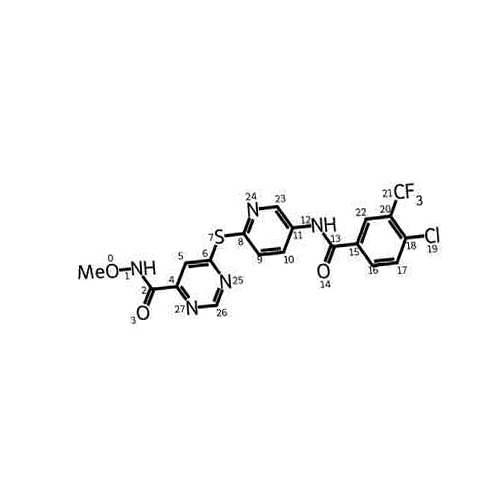 CONC(=O)c1cc(Sc2ccc(NC(=O)c3ccc(Cl)c(C(F)(F)F)c3)cn2)ncn1